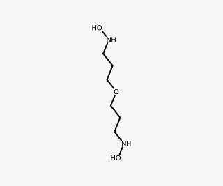 ONCCCOCCCNO